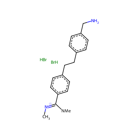 Br.Br.C/N=C(\NC)c1ccc(CCc2ccc(CN)cc2)cc1